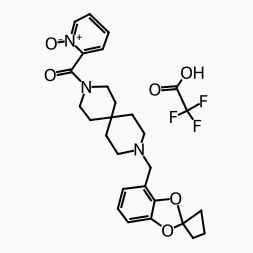 O=C(O)C(F)(F)F.O=C(c1cccc[n+]1[O-])N1CCC2(CCN(Cc3cccc4c3OC3(CCC3)O4)CC2)CC1